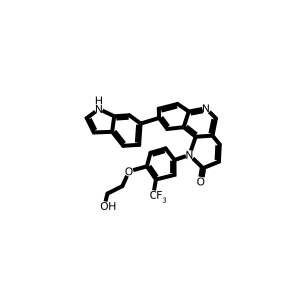 O=c1ccc2cnc3ccc(-c4ccc5cc[nH]c5c4)cc3c2n1-c1ccc(OCCO)c(C(F)(F)F)c1